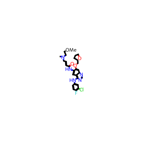 COCCN(C)CC=CC(=O)Nc1cc2c(Nc3ccc(F)c(Cl)c3)ncnc2cc1OCC1CCCO1